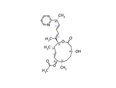 CC(=O)O[C@H]1/C=C/[C@H](C)[C@@H](/C(C)=C/C=C/[C@@H](C)c2ccccn2)OC(=O)C[C@H](O)CC[C@@H]1C